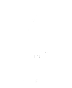 C#CCOc1ccc(CCC(=O)NCc2ccc(Cl)c(F)c2)cc1OC